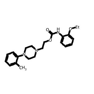 CCOc1ccccc1NC(=O)OCCN1CCN(c2ccccc2C)CC1